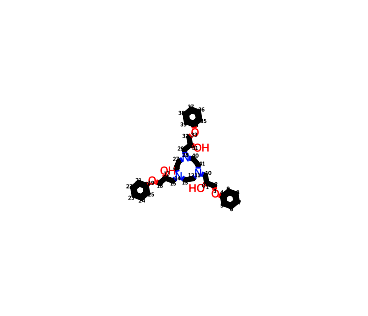 OC(COc1ccccc1)CN1CCN(CC(O)COc2ccccc2)CCN(CC(O)COc2ccccc2)CC1